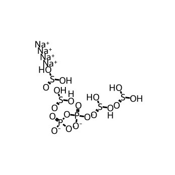 O=P([O-])([O-])OP(=O)([O-])[O-].O=S(O)O.O=S(O)O.O=S(O)O.O=S(O)O.[Na+].[Na+].[Na+].[Na+]